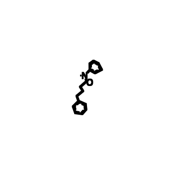 O=C(CCCc1ccccc1)[N]c1ccccc1